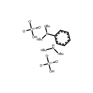 CCCCN(CCCC)c1ccccc1.CCCCNCCCC.[O-][Cl+3]([O-])([O-])O.[O-][Cl+3]([O-])([O-])O